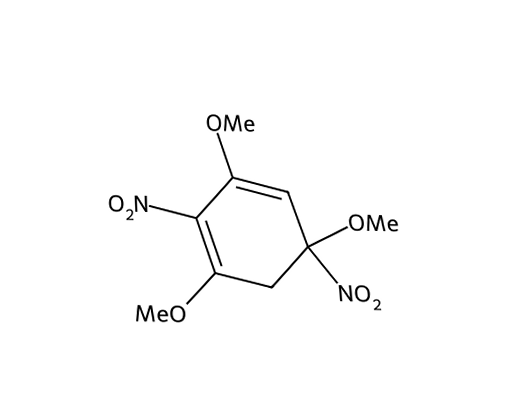 COC1=CC(OC)([N+](=O)[O-])CC(OC)=C1[N+](=O)[O-]